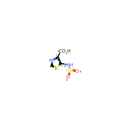 O=C(O)c1ncsc1N[SH](=O)=O